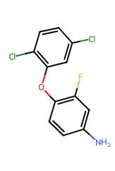 Nc1ccc(Oc2cc(Cl)ccc2Cl)c(F)c1